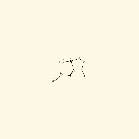 CC(C)OC[C@@H]1C(F)CCN1C